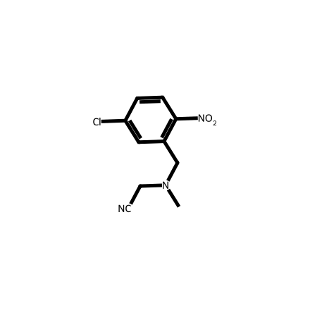 CN(CC#N)Cc1cc(Cl)ccc1[N+](=O)[O-]